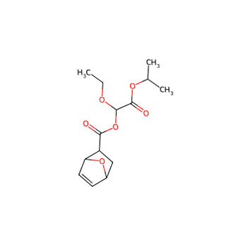 CCOC(OC(=O)C1CC2C=CC1O2)C(=O)OC(C)C